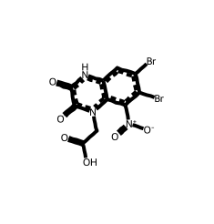 O=C(O)Cn1c(=O)c(=O)[nH]c2cc(Br)c(Br)c([N+](=O)[O-])c21